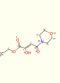 CCOC(=O)/C(O)=C/C(=O)N1CCOCC1